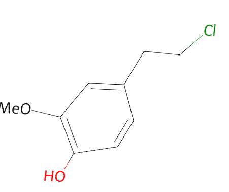 COc1cc(CCCl)ccc1O